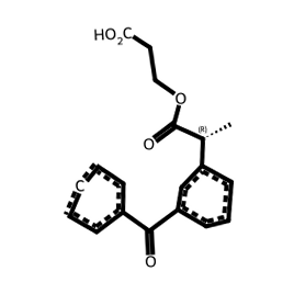 C[C@@H](C(=O)OCCC(=O)O)c1cccc(C(=O)c2ccccc2)c1